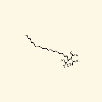 CCCCCCCCCCCCCCCCCCN([C@@H](CO)C(=O)O)P(=O)(O)O